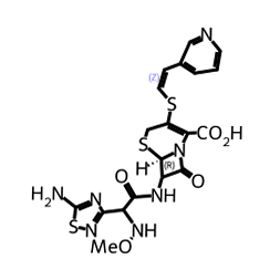 CONC(C(=O)NC1C(=O)N2C(C(=O)O)=C(S/C=C\c3cccnc3)CS[C@H]12)c1nsc(N)n1